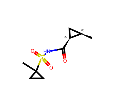 C[C@@H]1C[C@@H]1C(=O)NS(=O)(=O)C1(C)CC1